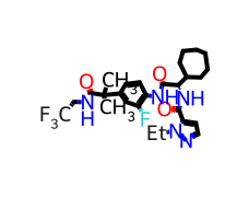 CCn1nccc1C(=O)N[C@H](C(=O)Nc1ccc(C(C)(C)C(=O)NCC(F)(F)F)cc1F)C1CCCCCC1